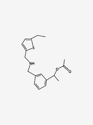 CCc1ccc(CNCc2cccc(C(C)OC(C)=O)c2)s1